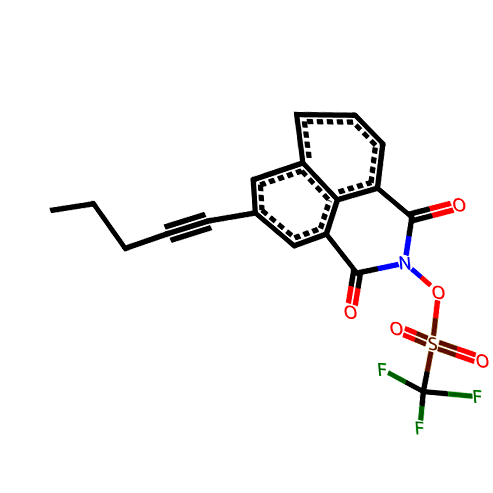 CCCC#Cc1cc2c3c(cccc3c1)C(=O)N(OS(=O)(=O)C(F)(F)F)C2=O